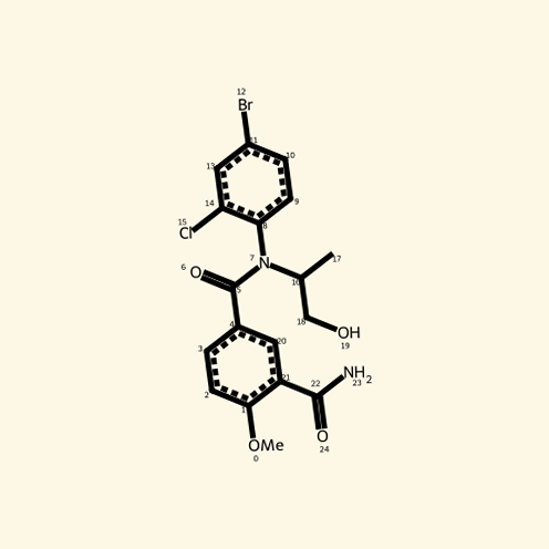 COc1ccc(C(=O)N(c2ccc(Br)cc2Cl)C(C)CO)cc1C(N)=O